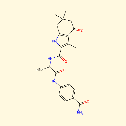 CCCCC(NC(=O)c1[nH]c2c(c1C)C(=O)CC(C)(C)C2)C(=O)Nc1ccc(C(N)=O)cc1